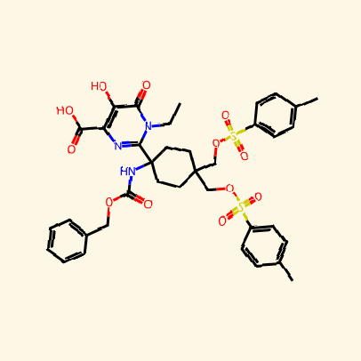 CCn1c(C2(NC(=O)OCc3ccccc3)CCC(COS(=O)(=O)c3ccc(C)cc3)(COS(=O)(=O)c3ccc(C)cc3)CC2)nc(C(=O)O)c(O)c1=O